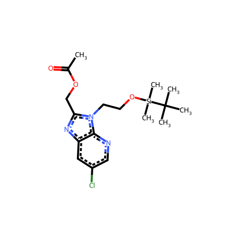 CC(=O)OCc1nc2cc(Cl)cnc2n1CCO[Si](C)(C)C(C)(C)C